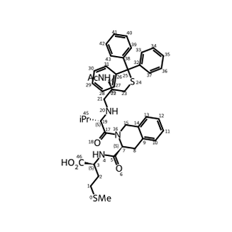 CSCC[C@H](NC(=O)[C@@H]1Cc2ccccc2CN1C(=O)[C@@H](NC[C@H](CSC(c1ccccc1)(c1ccccc1)c1ccccc1)NC(C)=O)C(C)C)C(=O)O